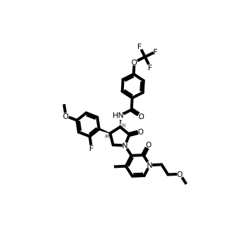 COCCn1ccc(C)c(N2C[C@@H](c3ccc(OC)cc3F)[C@H](NC(=O)c3ccc(OC(F)(F)F)cc3)C2=O)c1=O